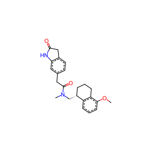 COc1cccc2c1CCC[C@H]2CN(C)C(=O)Cc1ccc2c(c1)NC(=O)C2